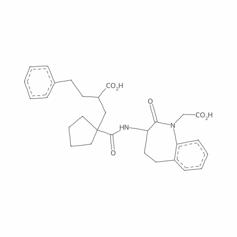 O=C(O)CN1C(=O)C(NC(=O)C2(CC(CCc3ccccc3)C(=O)O)CCCC2)CCc2ccccc21